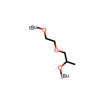 CC(COCCOC(C)(C)C)OC(C)(C)C